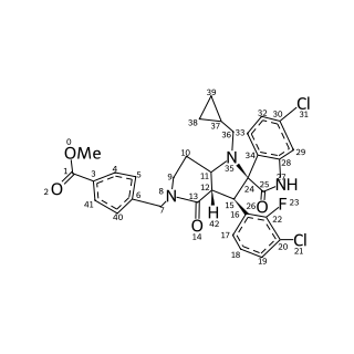 COC(=O)c1ccc(CN2CCC3[C@@H](C2=O)[C@H](c2cccc(Cl)c2F)[C@]2(C(=O)Nc4cc(Cl)ccc42)N3CC2CC2)cc1